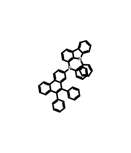 c1ccc(-c2c(-c3ccccc3)c3cc(N(c4ccccc4)c4cccc5c6ccccc6n(-c6ccccc6)c45)ccc3c3ccccc23)cc1